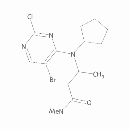 CNC(=O)CC(C)N(c1nc(Cl)ncc1Br)C1CCCC1